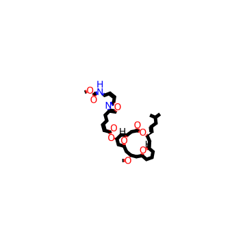 COC(=O)NC/C=C\c1nc(CC/C=C\C(=O)O[C@@H]2CC3C[C@H](OC)CC4CCC[C@@H](C[C@H](/C=C/CC(C)C)OC(=O)C[C@H](C2)O3)O4)co1